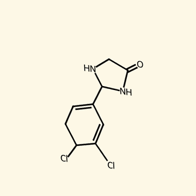 O=C1CNC(C2=CCC(Cl)C(Cl)=C2)N1